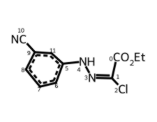 CCOC(=O)/C(Cl)=N\Nc1cccc(C#N)c1